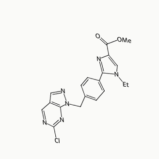 CCn1cc(C(=O)OC)nc1-c1ccc(Cn2ncc3cnc(Cl)nc32)cc1